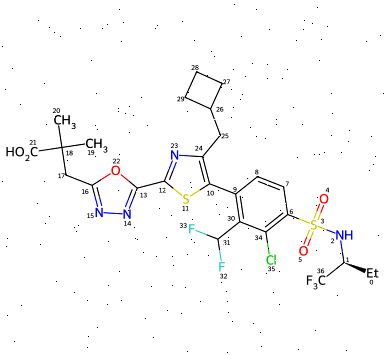 CC[C@H](NS(=O)(=O)c1ccc(-c2sc(-c3nnc(CC(C)(C)C(=O)O)o3)nc2CC2CCC2)c(C(F)F)c1Cl)C(F)(F)F